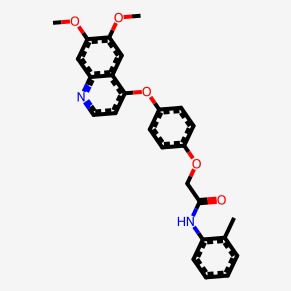 COc1cc2nccc(Oc3ccc(OCC(=O)Nc4ccccc4C)cc3)c2cc1OC